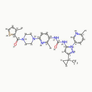 Cc1ccc(-n2nc(C3(C(F)(F)F)CC3)cc2NC(=O)Nc2ccc(N3CCN(C(=O)c4sccc4C)CC3)nc2C)cn1